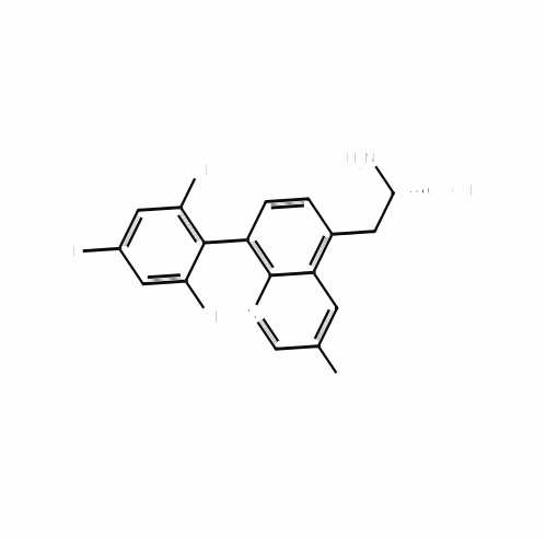 N[C@@H](Cc1ccc(-c2c(Cl)cc(F)cc2Cl)c2ncc(F)cc12)C(=O)O